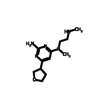 CNCCN(C)c1cc(C2CCOC2)nc(N)n1